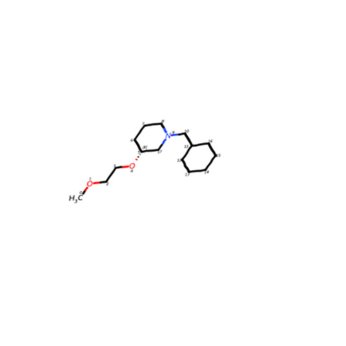 COCCO[C@@H]1CCCN(CC2CCCCC2)C1